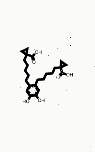 O=C(O)C1(CCCCCc2cc(O)c(O)cc2CCCCCC2(C(=O)O)CC2)CC1